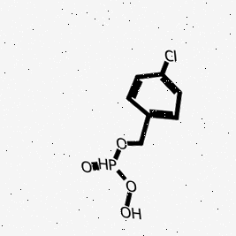 O=[PH](OO)OCc1ccc(Cl)cc1